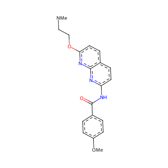 CNCCOc1ccc2ccc(NC(=O)c3ccc(OC)cc3)nc2n1